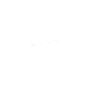 NCCCCCCN(Cl)Cl